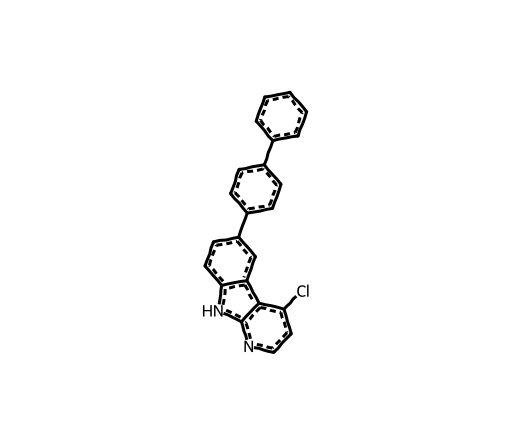 Clc1ccnc2[nH]c3ccc(-c4ccc(-c5ccccc5)cc4)cc3c12